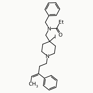 C/C=C(/CCN1CCC(I)(CN(Cc2ccccc2)C(=O)CC)CC1)c1ccccc1